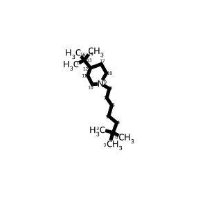 CC(C)(C)CCCCCN1CCC(C(C)(C)C)CC1